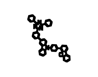 c1ccc(-c2nc(-c3ccccc3)nc(-c3cccc(-c4ccc5c(c4)c4ccccc4n5-c4ccc(-c5cccc6c5oc5ccccc56)cc4)c3)n2)cc1